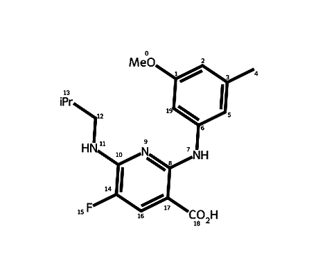 COc1cc(C)cc(Nc2nc(NCC(C)C)c(F)cc2C(=O)O)c1